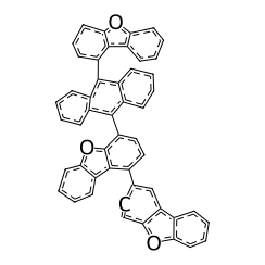 c1ccc2c(c1)oc1ccc(-c3ccc(-c4c5ccccc5c(-c5cccc6oc7ccccc7c56)c5ccccc45)c4oc5ccccc5c34)cc12